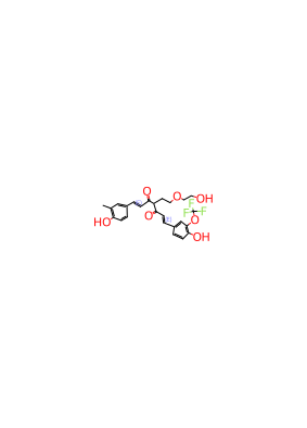 Cc1cc(/C=C/C(=O)C(CCOCCO)C(=O)/C=C/c2ccc(O)c(OC(F)(F)F)c2)ccc1O